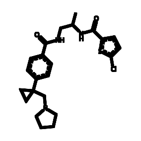 CC(CNC(=O)c1ccc(C2(CN3CCCC3)CC2)cc1)NC(=O)c1ccc(Cl)s1